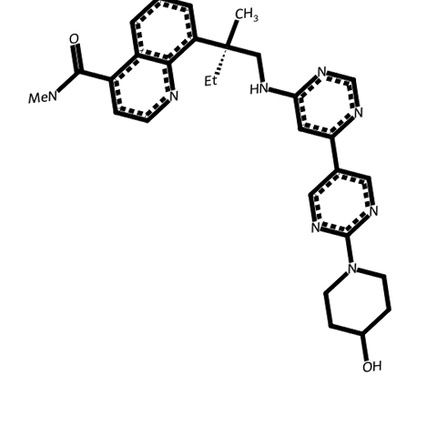 CC[C@](C)(CNc1cc(-c2cnc(N3CCC(O)CC3)nc2)ncn1)c1cccc2c(C(=O)NC)ccnc12